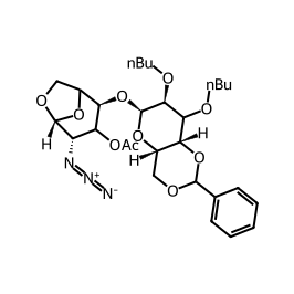 CCCCOC1[C@H](OCCCC)[C@H](O[C@@H]2C3CO[C@H](O3)[C@@H](N=[N+]=[N-])C2OC(C)=O)O[C@H]2COC(c3ccccc3)O[C@@H]12